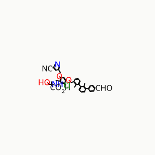 Cc1c(COc2cc(OCc3cncc(C#N)c3)c(CNC(C)(CO)C(=O)O)cc2Cl)cccc1-c1cccc(-c2ccc(C=O)cc2)c1C